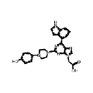 O=C(O)Cn1cnc2c(-c3cccc4[nH]ccc34)nc(N3CCN(c4ccc(O)cc4)CC3)nc21